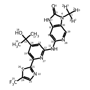 [2H]C([2H])([2H])n1c(=O)[nH]c2cc(Nc3cc(C(C)(C)O)cc(-c4ncc(C(F)(F)F)s4)n3)ncc21